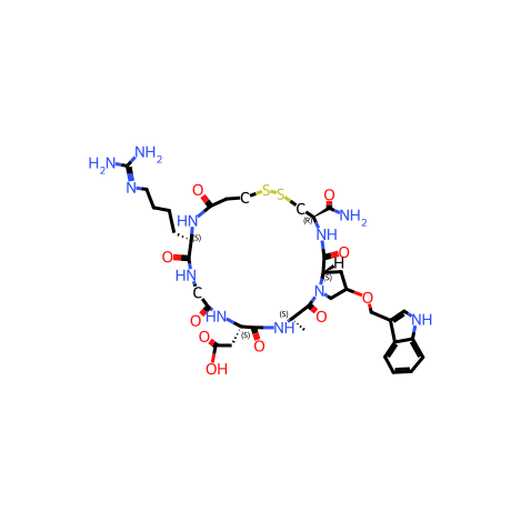 C[C@@H]1NC(=O)[C@H](CC(=O)O)NC(=O)CNC(=O)[C@H](CCCCN=C(N)N)NC(=O)CCSSC[C@@H](C(N)=O)NC(=O)[C@@H]2CC(OCc3c[nH]c4ccccc34)CN2C1=O